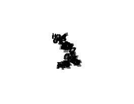 CCOC(Cc1ccc(OCCN(CC2CCCC2)C(=O)Nc2ccc(C(F)(F)F)cc2)cc1)C(=O)O